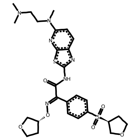 CN(C)CCN(C)c1ccc2nc(NC(=O)/C(=N/O[C@@H]3CCOC3)c3ccc(S(=O)(=O)[C@H]4CCOC4)cc3)sc2n1